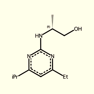 CCc1cc(C(C)C)nc(N[C@H](C)CO)n1